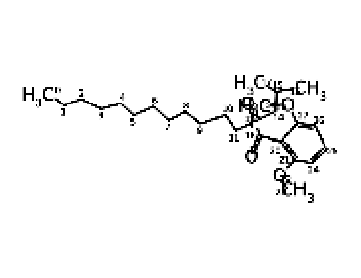 CCCCCCCCCCCCP(=O)(CC(C)C)C(=O)c1c(OC)cccc1OC